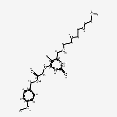 COCCOCCOCCOCc1[nH]c(=O)nc(SCC(=O)NCc2ccc(OC)cc2)c1C